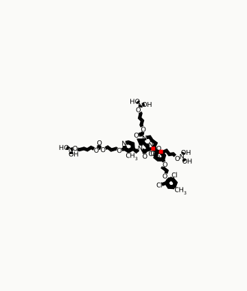 Cc1cc(Cl)c(OCCOc2ccc(C3CC4CN(C(=O)OCCCCON(O)O)CC(N4C(=O)OCCCCON(O)O)C3(C)C(=O)N(Cc3ccnc(OCCCOC(=O)OCCCCON(O)O)c3C)C3CC3)cc2)c(Cl)c1